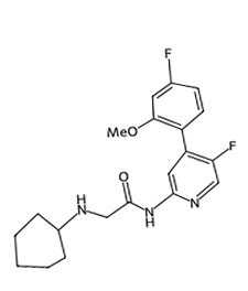 COc1cc(F)ccc1-c1cc(NC(=O)CNC2CCCCC2)ncc1F